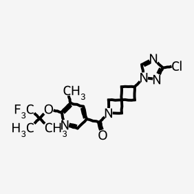 Cc1cc(C(=O)N2CC3(CC(n4cnc(Cl)n4)C3)C2)cnc1OC(C)(C)C(F)(F)F